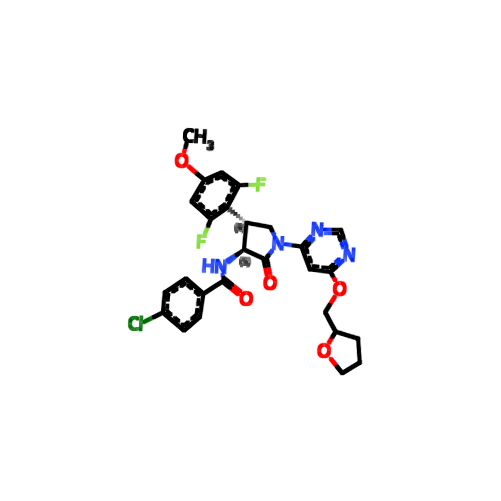 COc1cc(F)c([C@@H]2CN(c3cc(OCC4CCCO4)ncn3)C(=O)[C@H]2NC(=O)c2ccc(Cl)cc2)c(F)c1